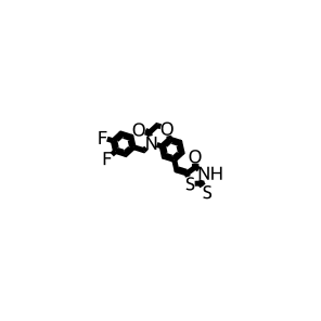 O=C1NC(=S)S/C1=C/c1ccc2c(c1)N(Cc1ccc(F)c(F)c1)C(=O)CO2